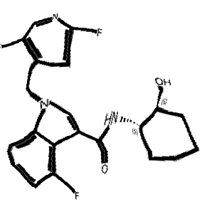 O=C(N[C@H]1CCCC[C@@H]1O)c1cn(Cc2cc(F)ncc2F)c2cccc(F)c12